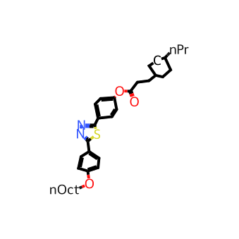 CCCCCCCCOc1ccc(-c2nnc(-c3ccc(OC(=O)CCC4CCC(CCC)CC4)cc3)s2)cc1